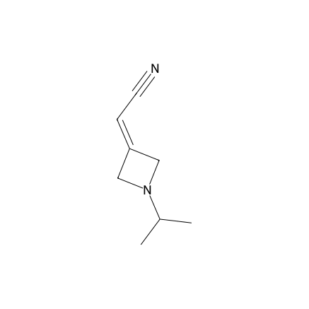 CC(C)N1CC(=CC#N)C1